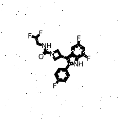 O=C(NCC(F)F)N1CC(c2c(-c3ccc(F)cc3)[nH]c3c(F)cc(F)cc23)C1